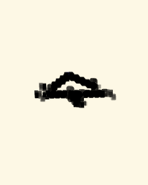 CCCCCCCC/C=C\CCCCCCCC(=O)[O-].CCCCCCCCOC(=O)CC(C(=O)OCCCCCCCC)S(=O)(=O)O.[Na+]